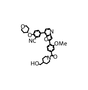 COc1cc(C(=O)N2CCC(CO)CC2)ccc1-c1cc2nccc(-c3ccc(OC4CCOCC4)c(C#N)c3)c2o1